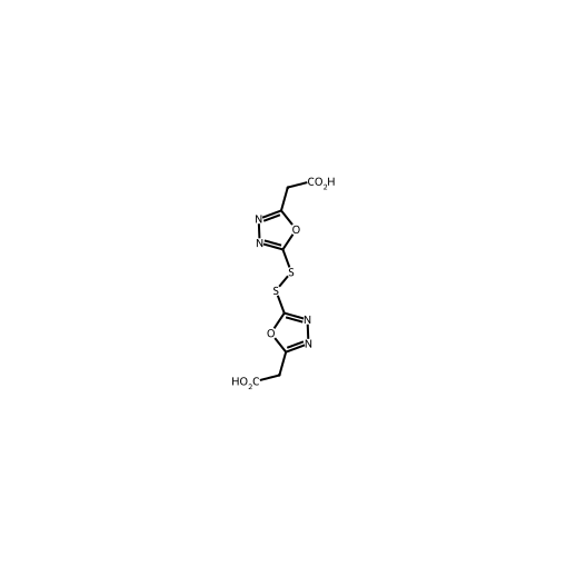 O=C(O)Cc1nnc(SSc2nnc(CC(=O)O)o2)o1